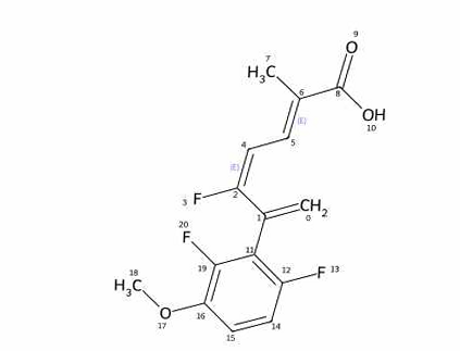 C=C(/C(F)=C\C=C(/C)C(=O)O)c1c(F)ccc(OC)c1F